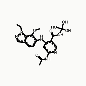 CCn1ncc2ccc(Nc3cc(NC(C)=O)ncc3C(=O)NC(O)(O)O)c(OC)c21